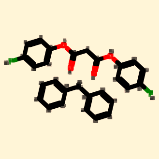 O=C(CC(=O)Oc1ccc(F)cc1)Oc1ccc(F)cc1.[B](c1ccccc1)c1ccccc1